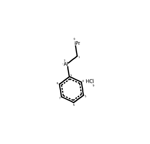 CC(C)[CH2][Al][c]1ccccc1.Cl